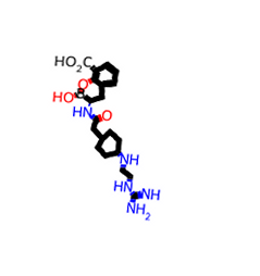 N=C(N)NCCNC1CCC(CC(=O)N[C@H]2Cc3cccc(C(=O)O)c3OB2O)CC1